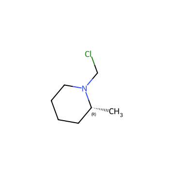 C[C@@H]1CCCCN1CCl